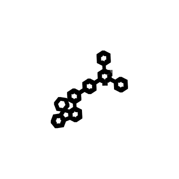 c1ccc(-c2cc(-c3ccc(-c4cccc(-c5cccc6c5C5(CCCCC5)c5ccccc5-6)c4)cc3)nc(-c3ccccc3)n2)cc1